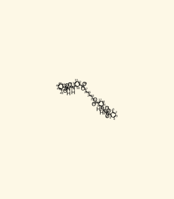 Cc1ccccc1S(=O)(=O)NC(=O)Nc1cccc(C(=O)OCCCCCCOC(=O)c2cccc(NC(=O)NS(=O)(=O)c3ccccc3C)c2)c1